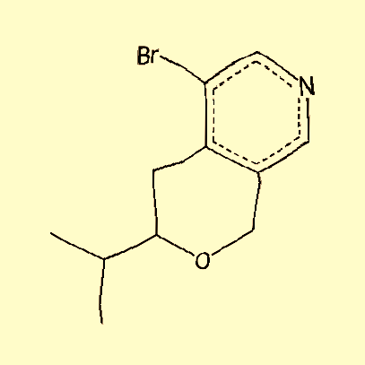 CC(C)C1Cc2c(Br)cncc2CO1